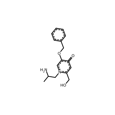 CC(N)Cn1cc(OCc2ccccc2)c(=O)cc1CO